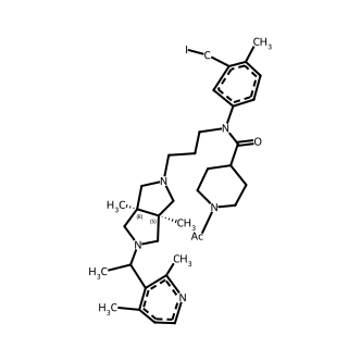 CC(=O)N1CCC(C(=O)N(CCCN2C[C@@]3(C)CN(C(C)c4c(C)ccnc4C)C[C@@]3(C)C2)c2ccc(C)c(CI)c2)CC1